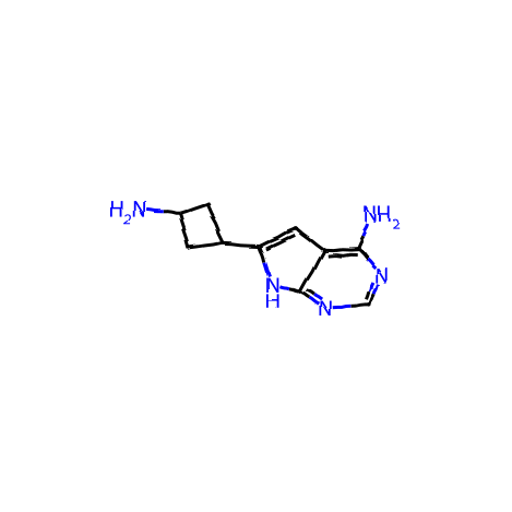 Nc1ncnc2[nH]c(C3CC(N)C3)cc12